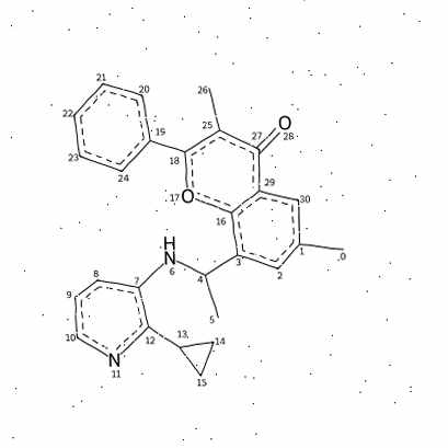 Cc1cc(C(C)Nc2cccnc2C2CC2)c2oc(-c3ccccc3)c(C)c(=O)c2c1